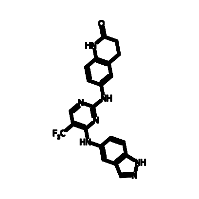 O=C1CCc2cc(Nc3ncc(C(F)(F)F)c(Nc4ccc5[nH]ncc5c4)n3)ccc2N1